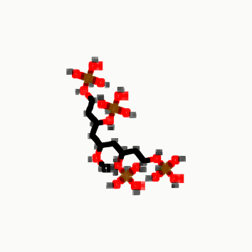 COC(CC(CCOS(=O)(=O)O)OS(=O)(=O)O)CC(CCOS(=O)(=O)O)OS(=O)(=O)O